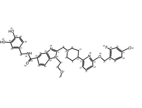 COCCn1c(CN2CCC(c3cccc(OCc4ccc(Cl)cc4F)n3)CC2)nc2cc(C(=O)NCc3ccc(O)c(O)c3)ccc21